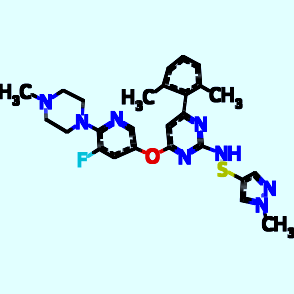 Cc1cccc(C)c1-c1cc(Oc2cnc(N3CCN(C)CC3)c(F)c2)nc(NSc2cnn(C)c2)n1